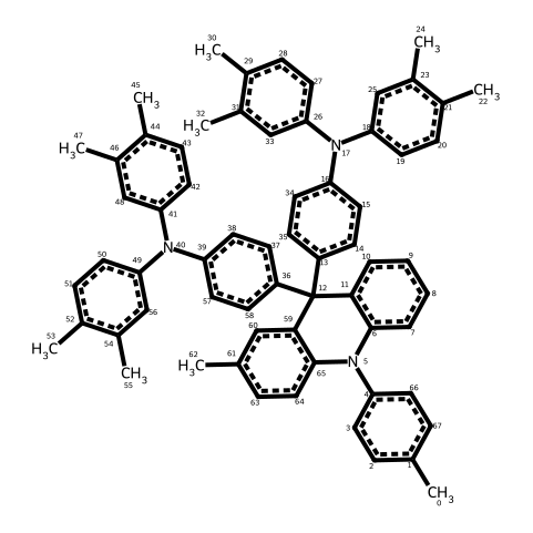 Cc1ccc(N2c3ccccc3C(c3ccc(N(c4ccc(C)c(C)c4)c4ccc(C)c(C)c4)cc3)(c3ccc(N(c4ccc(C)c(C)c4)c4ccc(C)c(C)c4)cc3)c3cc(C)ccc32)cc1